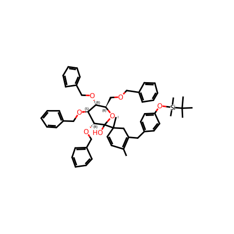 [CH]C1(C2(O)O[C@H](COCc3ccccc3)[C@@H](OCc3ccccc3)[C@H](OCc3ccccc3)[C@H]2OCc2ccccc2)C=CC(C)=C(Cc2ccc(O[Si](C)(C)C(C)(C)C)cc2)C1